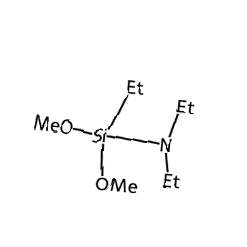 CCN(CC)[Si](CC)(OC)OC